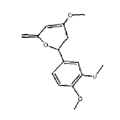 C=C1C=C(OC)CC(c2ccc(OC)c(OC)c2)O1